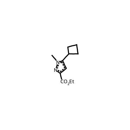 CCOC(=O)c1cc(C2CCC2)n(C)n1